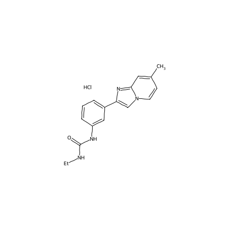 CCNC(=O)Nc1cccc(-c2cn3ccc(C)cc3n2)c1.Cl